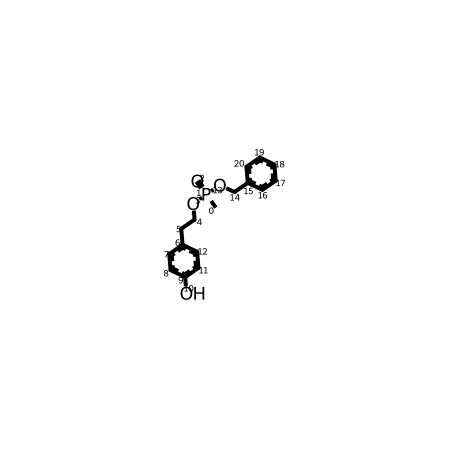 CP(=O)(OCCc1ccc(O)cc1)OCc1ccccc1